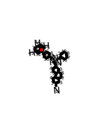 N#Cc1ccc2c(ccc3cc(-c4nc(-c5ccccc5)nc(-c5ccc(C67C[C@H]8C[C@H](C6)C[C@@H](C7)C8)cc5)n4)ccc32)c1